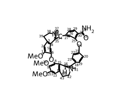 COc1cc2c3cc1Oc1c(OC)c(OC)cc4c1[C@H](Cc1ccc(cc1)Oc1cc(ccc1C(N)=O)C[C@H]3N(C)CC2)N(C)CC4